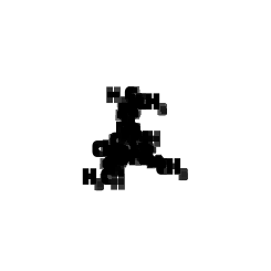 C/C=C/c1cc(Nc2cc(N3CCC(N(C)C)C3)nc(Oc3ccc4[nH]c(C)cc4c3Cl)n2)n[nH]1